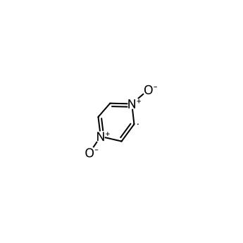 [O-][n+]1[c]c[n+]([O-])cc1